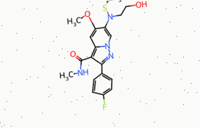 CNC(=O)c1c(-c2ccc(F)cc2)nn2cc(N(CCO)SC)c(OC)cc12